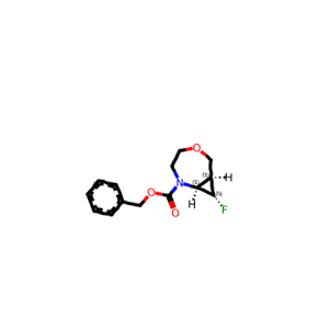 O=C(OCc1ccccc1)N1CCOC[C@H]2[C@H](F)[C@H]21